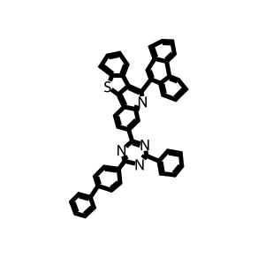 c1ccc(-c2ccc(-c3nc(-c4ccccc4)nc(-c4ccc5c(c4)nc(-c4cc6ccccc6c6ccccc46)c4c6ccccc6sc54)n3)cc2)cc1